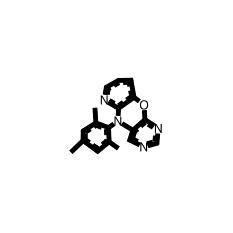 Cc1cc(C)c(N2c3cncnc3Oc3cccnc32)c(C)c1